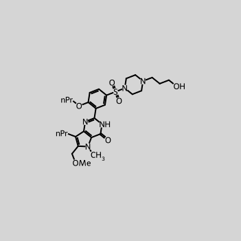 CCCOc1ccc(S(=O)(=O)N2CCN(CCCO)CC2)cc1-c1nc2c(CCC)c(COC)n(C)c2c(=O)[nH]1